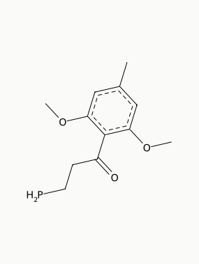 COc1cc(C)cc(OC)c1C(=O)CCP